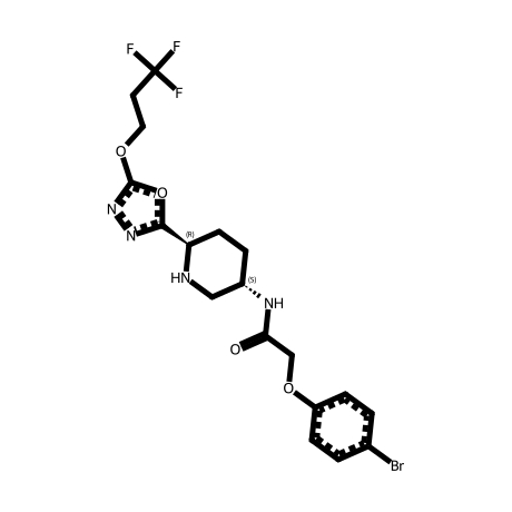 O=C(COc1ccc(Br)cc1)N[C@H]1CC[C@H](c2nnc(OCCC(F)(F)F)o2)NC1